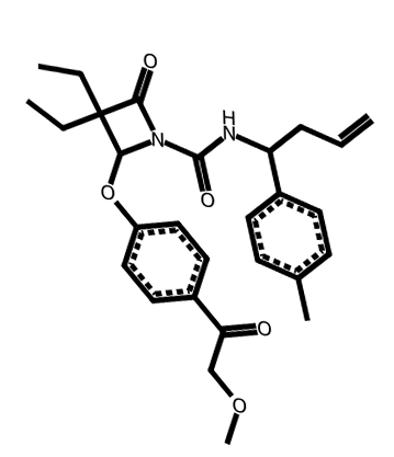 C=CCC(NC(=O)N1C(=O)C(CC)(CC)C1Oc1ccc(C(=O)COC)cc1)c1ccc(C)cc1